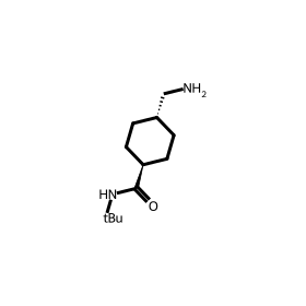 CC(C)(C)NC(=O)[C@H]1CC[C@H](CN)CC1